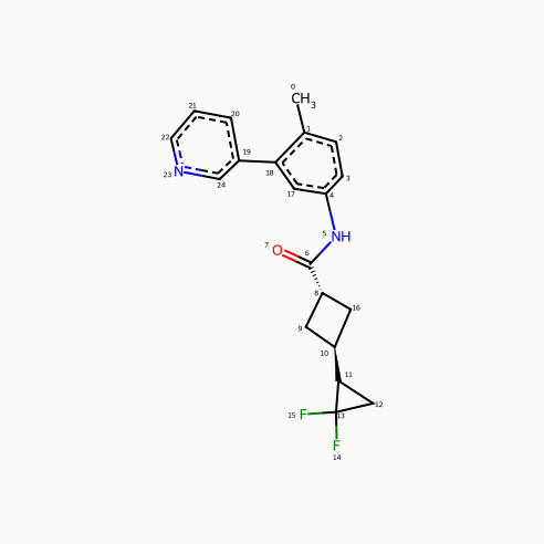 Cc1ccc(NC(=O)[C@H]2C[C@H](C3CC3(F)F)C2)cc1-c1cccnc1